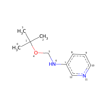 CC(C)(C)OCNc1cccnc1